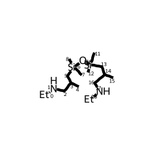 CCNCC(C)C[Si](C)(C)O[Si](C)(C)CC(C)CNCC